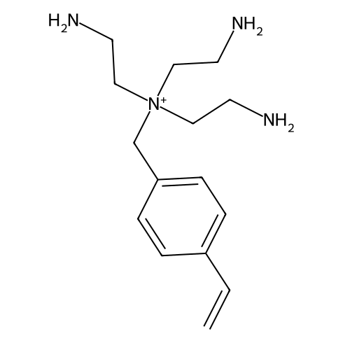 C=Cc1ccc(C[N+](CCN)(CCN)CCN)cc1